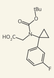 CC(C)(C)OC(=O)N(CC(=O)O)C1(c2cccc(F)c2)CC1